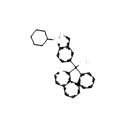 OC(c1ccccc1)(c1ccc2c(cnn2C2CCCCC2)c1)c1nccc2ccccc12